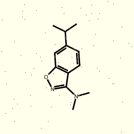 CC(C)c1ccc2c(N(C)C)noc2c1